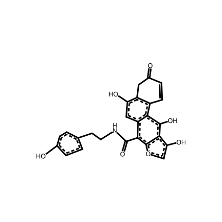 O=C1C=Cc2c(c(O)cc3c(C(=O)NCCc4ccc(O)cc4)c4occ(O)c4c(O)c23)C1